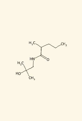 CCCC(C)C(=O)NCC(C)(C)O